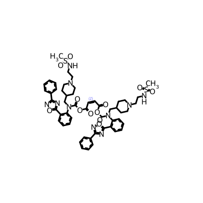 CS(=O)(=O)NCCN1CCC(CN(C(=O)OC(=O)/C=C\C(=O)OC(=O)N(CC2CCN(CCNS(C)(=O)=O)CC2)c2ccccc2-c2nc(-c3ccccc3)no2)c2ccccc2-c2nc(-c3ccccc3)no2)CC1